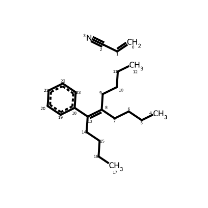 C=CC#N.CCCCC(CCCC)=C(CCCC)c1ccccc1